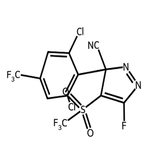 N#CC1(c2c(Cl)cc(C(F)(F)F)cc2Cl)N=NC(F)=C1S(=O)(=O)C(F)(F)F